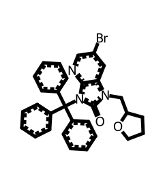 O=c1n(CC2CCCO2)c2cc(Br)cnc2n1C(c1ccccc1)(c1ccccc1)c1ccccc1